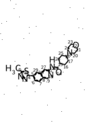 Cc1nnc(-c2ccc3cnc(NC(=O)[C@H]4CC[C@H](N5CCOCC5)CC4)cc3c2)s1